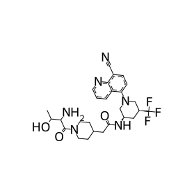 CC(O)C(N)C(=O)N1CCC(CC(=O)N[C@@H]2C[C@H](C(F)(F)F)CN(c3ccc(C#N)c4ncccc34)C2)CC1